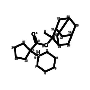 CC1(OC(=O)C2([SH]3CCCCC3)CCCC2)C2CC3CC(C2)CC1C3